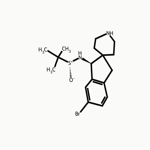 CC(C)(C)[S@@+]([O-])N[C@@H]1c2cc(Br)ccc2CC12CCNCC2